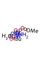 COc1ccc(Oc2ccc(-n3c(=O)n(-c4cccc(N(C)C(=O)OC(C)(C)C)c4)c4ncnc(N)c43)cc2)cc1